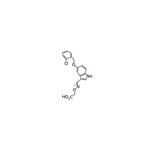 O=C(O)CO/N=C/c1c[nH]c2ccc(OCc3ccccc3Cl)cc12